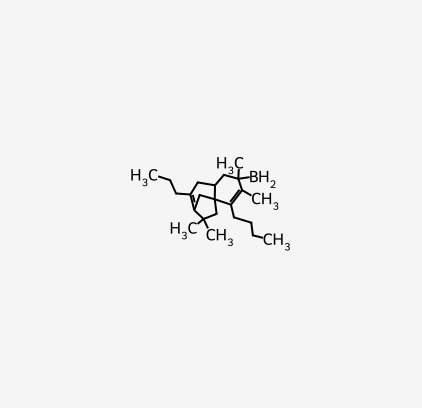 BC1(C)CC2CC(CCC)=C3CC2(CC3(C)C)C(CCCC)=C1C